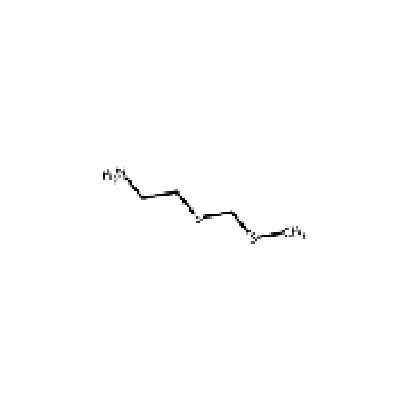 CSCSCCN